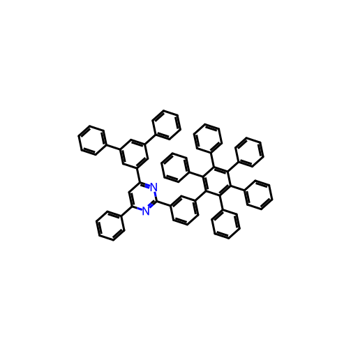 c1ccc(-c2cc(-c3ccccc3)cc(-c3cc(-c4ccccc4)nc(-c4cccc(-c5c(-c6ccccc6)c(-c6ccccc6)c(-c6ccccc6)c(-c6ccccc6)c5-c5ccccc5)c4)n3)c2)cc1